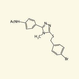 CC(=O)Nc1ccc(-c2nnc(SCc3ccc(Br)cc3)n2C)cc1